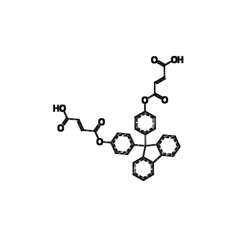 O=C(O)C=CC(=O)Oc1ccc(C2(c3ccc(OC(=O)C=CC(=O)O)cc3)c3ccccc3-c3ccccc32)cc1